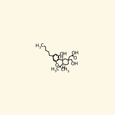 CCCCCc1cc(O)c2c(c1)OC(C)(C)[C@@H]1CCC(CO)(CC(=O)O)C[C@@H]21